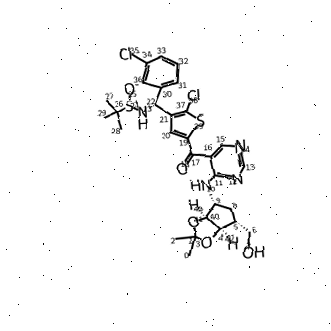 CC1(C)O[C@@H]2[C@@H](CO)C[C@@H](Nc3ncncc3C(=O)c3cc([C@H](N[S+]([O-])C(C)(C)C)c4cccc(Cl)c4)c(Cl)s3)[C@@H]2O1